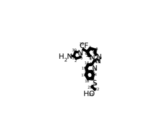 NC1CCN([C@H](c2ccc3nnc(-c4ccc5ccc(SCCO)cc5n4)n3c2)C(F)(F)F)C1